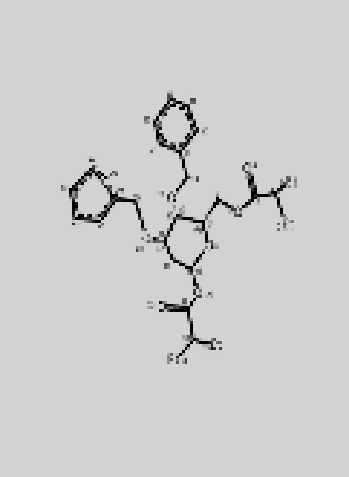 CCC(CC)C(=O)OC[C@H]1O[C@@H](OC(=O)C(CC)CC)C[C@@H](OCc2ccccc2)[C@@H]1OCc1ccccc1